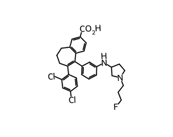 O=C(O)c1ccc2c(c1)CCCC(c1ccc(Cl)cc1Cl)=C2c1cccc(NC2CCN(CCCF)C2)c1